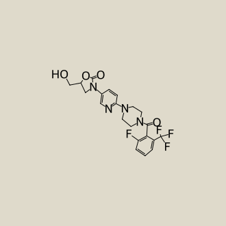 O=C(c1c(F)cccc1C(F)(F)F)N1CCN(c2ccc(N3CC(CO)OC3=O)cn2)CC1